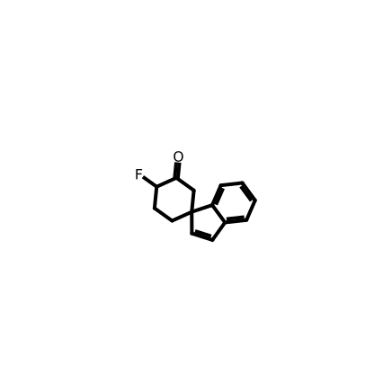 O=C1CC2(C=Cc3ccccc32)CCC1F